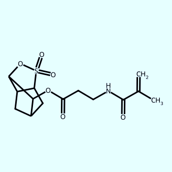 C=C(C)C(=O)NCCC(=O)OC1C2CC3C1OS(=O)(=O)C3C2